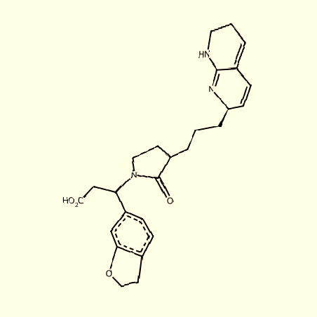 O=C(O)CC(c1ccc2c(c1)OCC2)N1CCC(CCC[C@@H]2C=CC3=CCCNC3=N2)C1=O